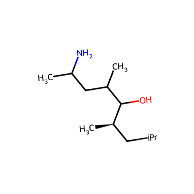 CC(C)C[C@@H](C)C(O)C(C)CC(C)N